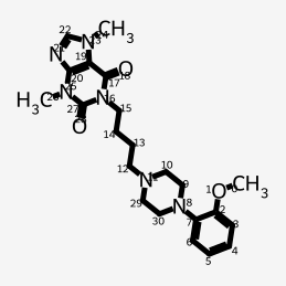 COc1ccccc1N1CCN(CCCCn2c(=O)c3c(ncn3C)n(C)c2=O)CC1